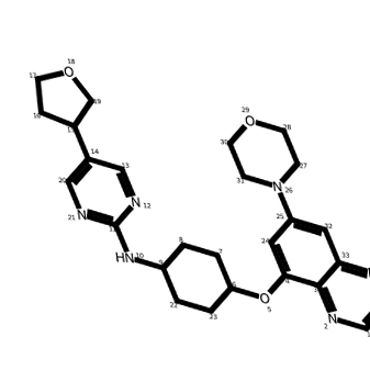 c1cnc2c(OC3CCC(Nc4ncc(C5CCOC5)cn4)CC3)cc(N3CCOCC3)cc2n1